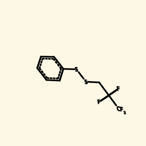 FC(F)(F)C(F)(F)CSSc1ccccc1